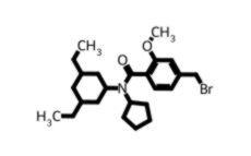 CCC1CC(CC)CC(N(C(=O)c2ccc(CBr)cc2OC)C2CCCC2)C1